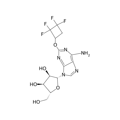 Nc1nc(OC2CC(F)(F)C2(F)F)nc2c1ncn2[C@@H]1O[C@H](CO)[C@@H](O)[C@H]1O